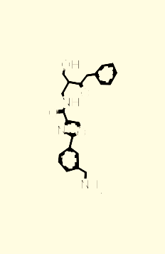 NCc1cccc(-c2nc(C(=O)NCC(CO)C(=O)Cc3ccccc3)co2)c1